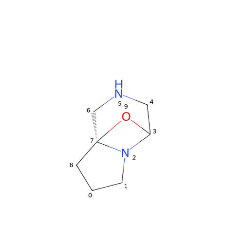 C1CN2C3CNC[C@]2(C1)O3